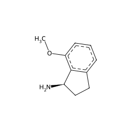 COc1cccc2c1[C@H](N)CC2